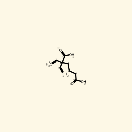 C=CC(C=C)(CCCC(=O)O)C(=O)O